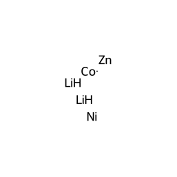 [Co].[LiH].[LiH].[Ni].[Zn]